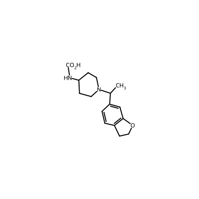 CC(c1ccc2c(c1)OCC2)N1CCC(NC(=O)O)CC1